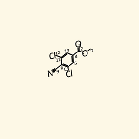 COC(=O)c1cc(Cl)c(C#N)c(Cl)c1